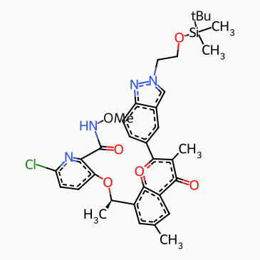 CONC(=O)c1nc(Cl)ccc1O[C@H](C)c1cc(C)cc2c(=O)c(C)c(-c3ccc4nn(CCO[Si](C)(C)C(C)(C)C)cc4c3)oc12